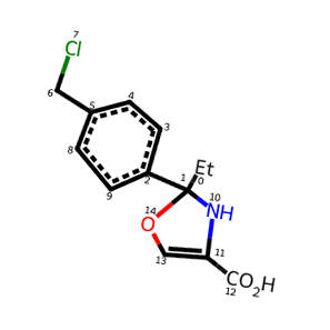 CCC1(c2ccc(CCl)cc2)NC(C(=O)O)=CO1